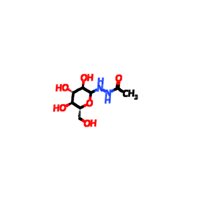 CC(=O)NNC1O[C@H](CO)[C@@H](O)[C@H](O)[C@H]1O